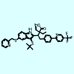 CCC(CC)(C(=O)O)C(Cc1ccc(-c2ccc(C(F)(F)F)cn2)cc1)c1[nH]c2ccc(SCc3ccccn3)cc2c1SC(C)(C)C